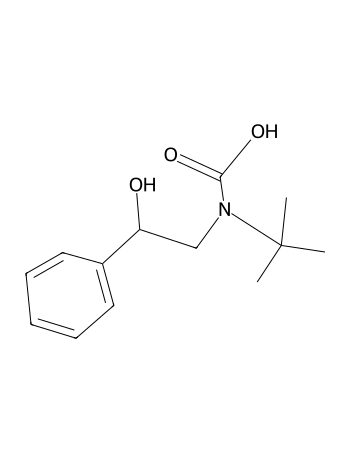 CC(C)(C)N(CC(O)c1ccccc1)C(=O)O